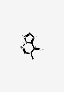 Cn1cnn2ncnc2c1=O